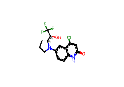 O=c1cc(Cl)c2cc(N3CCC[C@@H]3[C@H](O)C(F)(F)F)ccc2[nH]1